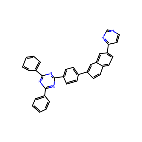 c1ccc(-c2nc(-c3ccccc3)nc(-c3ccc(-c4ccc5ccc(-c6ccncn6)cc5c4)cc3)n2)cc1